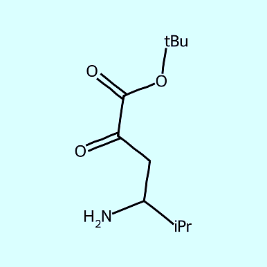 CC(C)C(N)CC(=O)C(=O)OC(C)(C)C